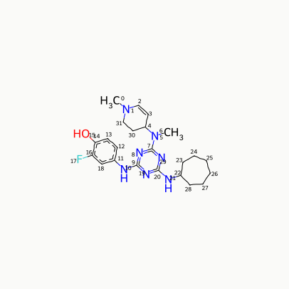 CN1C=CC(N(C)c2nc(Nc3ccc(O)c(F)c3)nc(NC3CCCCCC3)n2)CC1